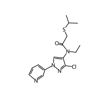 CCN(C(=O)CSC(C)C)c1cn(-c2cccnc2)nc1Cl